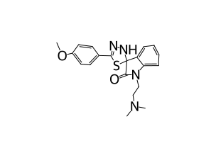 COc1ccc(C2=NNC3(S2)C(=O)N(CCN(C)C)c2ccccc23)cc1